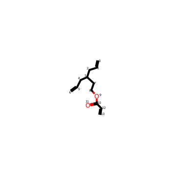 C=CCC(CC=C)CCOC(=O)C=C